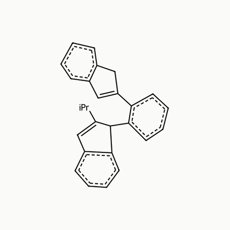 CC(C)C1=Cc2ccccc2C1c1ccccc1C1=Cc2ccccc2C1